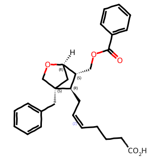 O=C(O)CCC/C=C\C[C@@H]1[C@@H](COC(=O)c2ccccc2)[C@H]2C[C@]1(Cc1ccccc1)CO2